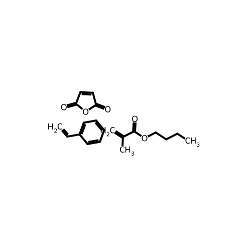 C=C(C)C(=O)OCCCC.C=Cc1ccccc1.O=C1C=CC(=O)O1